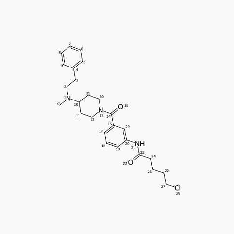 CN(CCc1ccccc1)C1CCN(C(=O)c2cccc(NC(=O)CCCCCl)c2)CC1